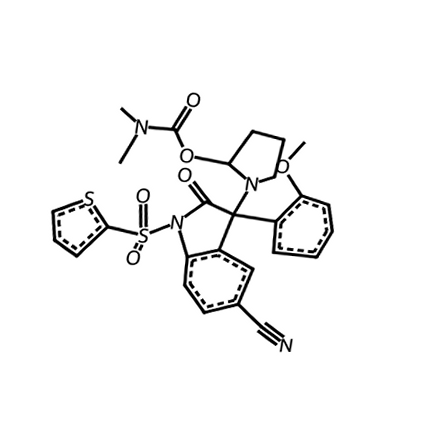 COc1ccccc1C1(N2CCCC2OC(=O)N(C)C)C(=O)N(S(=O)(=O)c2cccs2)c2ccc(C#N)cc21